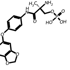 C[C@](N)(COP(=O)(O)O)C(=O)Nc1ccc(Oc2ccc3c(c2)OCO3)cc1